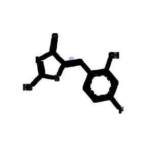 O=C1N=C(S)S/C1=C\c1ccc(F)cc1O